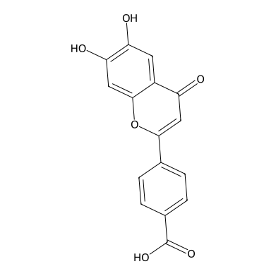 O=C(O)c1ccc(-c2cc(=O)c3cc(O)c(O)cc3o2)cc1